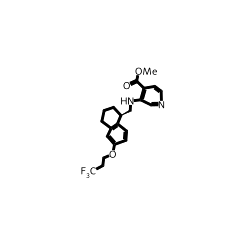 COC(=O)c1ccncc1NC[C@@H]1CCCc2cc(OCCC(F)(F)F)ccc21